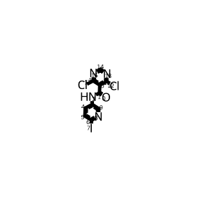 O=C(Nc1ccc(I)nc1)c1c(Cl)ncnc1Cl